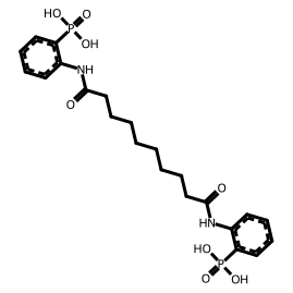 O=C(CCCCCCCCC(=O)Nc1ccccc1P(=O)(O)O)Nc1ccccc1P(=O)(O)O